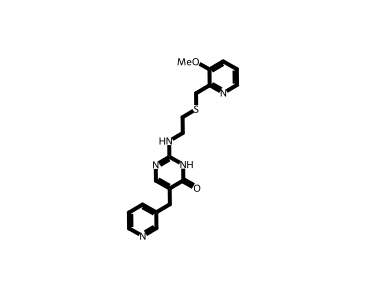 COc1cccnc1CSCCNc1ncc(Cc2cccnc2)c(=O)[nH]1